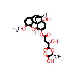 COc1ccc2c3c1O[C@H]1C(OC(=O)C[C@H](O)C(=O)O[C@@H](C)C(=O)O)=CC[C@@]4(O)[C@H](CCC[C@]314)C2